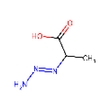 CC(N=NN)C(=O)O